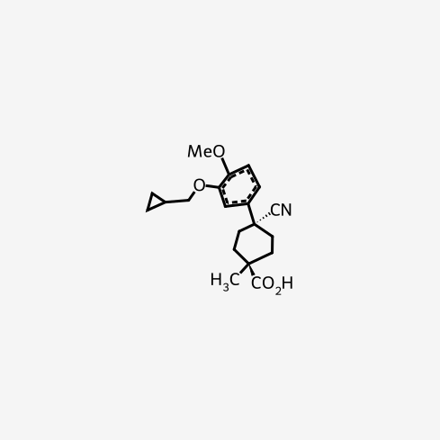 COc1ccc([C@]2(C#N)CC[C@](C)(C(=O)O)CC2)cc1OCC1CC1